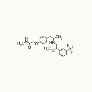 CNC(=O)COc1ccc(CC(C)NCC(OC)c2cccc(C(F)(F)F)c2)cc1